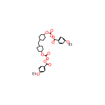 CCOc1ccc(C(=O)OOC(=O)OC2CCC(CC3CCC(OC(=O)OOC(=O)c4ccc(OCC)cc4)CC3)CC2)cc1